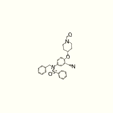 N#Cc1cc(N(Cc2ccccc2)[S+]([O-])c2ccccc2)ccc1OC1CCN(C=O)CC1